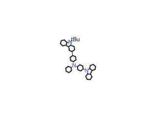 CC(C)(C)n1c2ccccc2c2cc(-c3ccc(N(c4ccccc4)c4ccc(-n5c6ccccc6c6ccccc65)cc4)cc3)ccc21